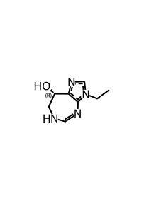 CCn1cnc2c1N=CNC[C@H]2O